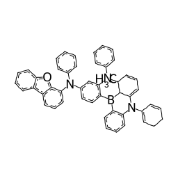 CC12C=CC=C3C1B(c1ccccc1N3C1=CCCC=C1)c1ccc(N(c3ccccc3)c3cccc4c3oc3ccccc34)cc1N2c1ccccc1